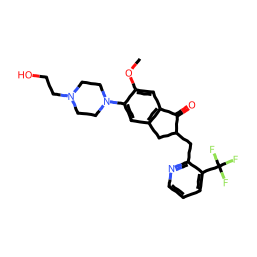 COc1cc2c(cc1N1CCN(CCO)CC1)CC(Cc1ncccc1C(F)(F)F)C2=O